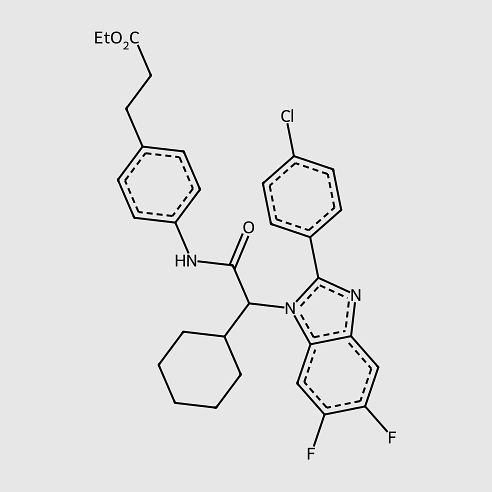 CCOC(=O)CCc1ccc(NC(=O)C(C2CCCCC2)n2c(-c3ccc(Cl)cc3)nc3cc(F)c(F)cc32)cc1